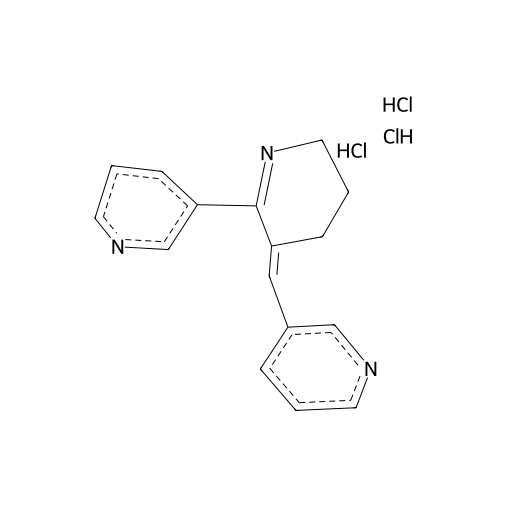 C(=C1CCCN=C1c1cccnc1)c1cccnc1.Cl.Cl.Cl